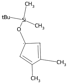 CC1=C[C](O[Si](C)(C)C(C)(C)C)C=C1C